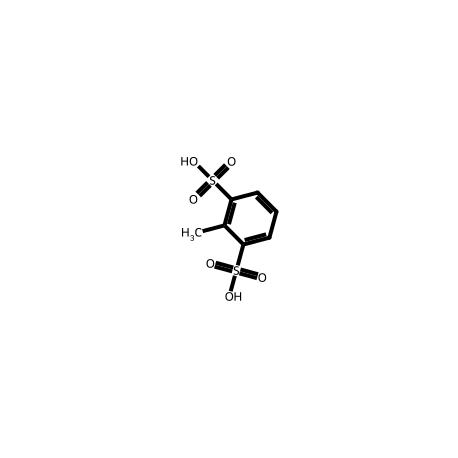 Cc1c(S(=O)(=O)O)cccc1S(=O)(=O)O